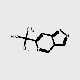 CC(C)(C)C1=CC2=NN=CC2C=N1